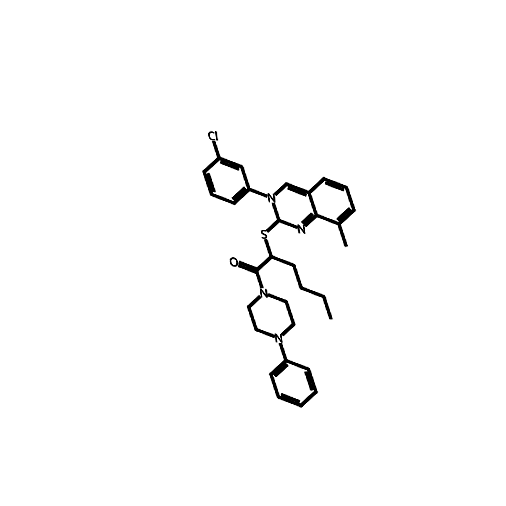 CCCCC(SC1N=c2c(C)cccc2=CN1c1cccc(Cl)c1)C(=O)N1CCN(c2ccccc2)CC1